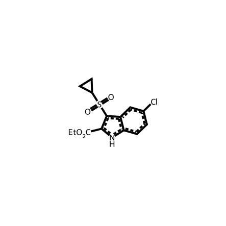 CCOC(=O)c1[nH]c2ccc(Cl)cc2c1S(=O)(=O)C1CC1